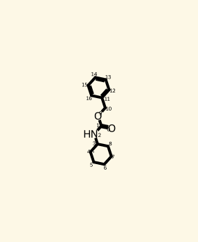 O=C(NC1[CH]CCCC1)OCc1ccccc1